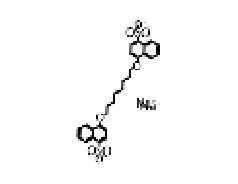 O=S(=O)([O-])c1ccc(OCCCCCCCCOc2ccc(S(=O)(=O)[O-])c3ccccc23)c2ccccc12.[Na+].[Na+]